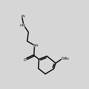 CC(C)COC1=CCCC(C(=O)NCCNC(C)C)=C1